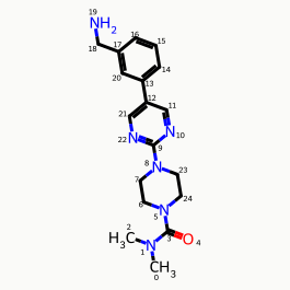 CN(C)C(=O)N1CCN(c2ncc(-c3cccc(CN)c3)cn2)CC1